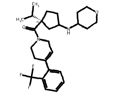 CC(C)[C@]1(C(=O)N2CC=C(c3ccccc3C(F)(F)F)CC2)CCC(NC2CCOCC2)C1